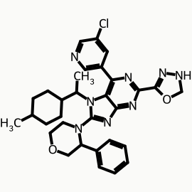 CC1CCC(C(C)n2c(N3CCOCC3c3ccccc3)nc3nc(C4=NNCO4)nc(-c4cncc(Cl)c4)c32)CC1